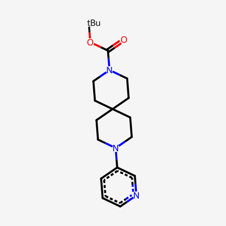 CC(C)(C)OC(=O)N1CCC2(CC1)CCN(c1cccnc1)CC2